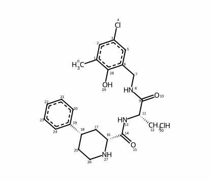 Cc1cc(Cl)cc(CNC(=O)[C@H](C)NC(=O)[C@H]2C[C@@H](c3ccccc3)CCN2)c1O.Cl